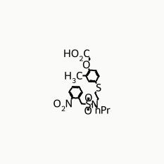 CCCN(CCSc1ccc(OCC(=O)O)c(C)c1)S(=O)(=O)Cc1ccccc1[N+](=O)[O-]